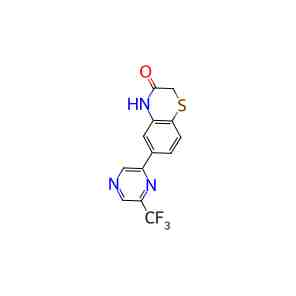 O=C1CSc2ccc(-c3cncc(C(F)(F)F)n3)cc2N1